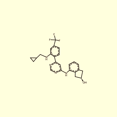 O[C@@H]1Cc2cccc(Nc3cc(-c4ccc(C(F)(F)F)cc4NCC4CC4)ncn3)c2C1